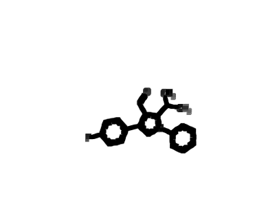 CC(C)c1c(C=O)c(-c2ccc(F)cc2)cn1-c1ccccc1